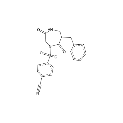 N#Cc1ccc(S(=O)(=O)N2CC(=O)NCC(Cc3ccccc3)C2=O)cc1